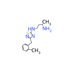 Cc1ccccc1Cc1nsc(NCCC(C)N)n1